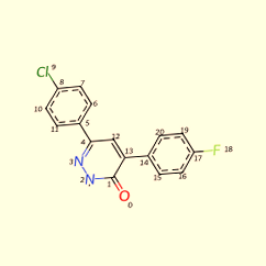 O=C1[N]N=C(c2ccc(Cl)cc2)C=C1c1ccc(F)cc1